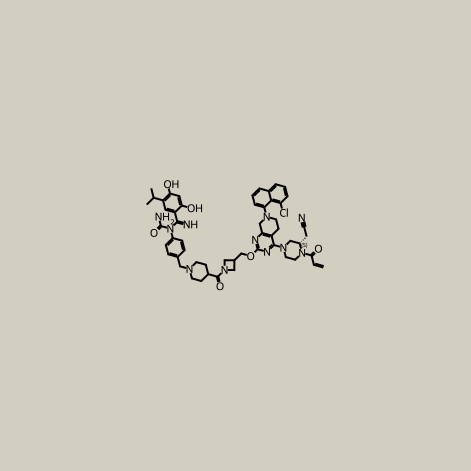 C=CC(=O)N1CCN(c2nc(OCC3CN(C(=O)C4CCN(Cc5ccc(N(C(=N)c6cc(C(C)C)c(O)cc6O)C(N)=O)cc5)CC4)C3)nc3c2CCN(c2cccc4cccc(Cl)c24)C3)C[C@@H]1CC#N